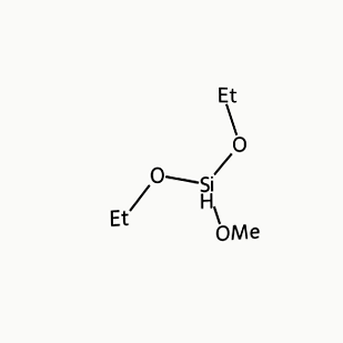 CCO[SiH](OC)OCC